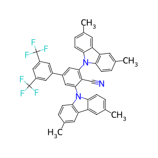 Cc1ccc2c(c1)c1cc(C)ccc1n2-c1cc(-c2cc(C(F)(F)F)cc(C(F)(F)F)c2)cc(-n2c3ccc(C)cc3c3cc(C)ccc32)c1C#N